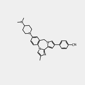 Cc1cn2c(n1)-c1cc(-c3ccc(C#N)cc3)cn1Cc1cc(N3CCC(N(C)C)CC3)ccc1-2